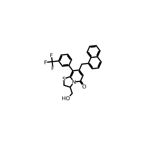 O=c1cc(Cc2cccc3ccccc23)c(-c2cccc(C(F)(F)F)c2)c2n1C(CO)CS2